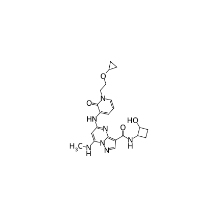 CNc1cc(Nc2cccn(CCOC3CC3)c2=O)nc2c(C(=O)NC3CCC3O)cnn12